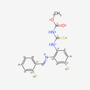 COC(=O)NC(=S)Nc1ccc(F)cc1N=Cc1ccccc1F